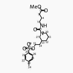 COC(=O)CCCNC(=O)N1CCCC(CCOS(=O)(=O)c2ccc(C)cc2)C1